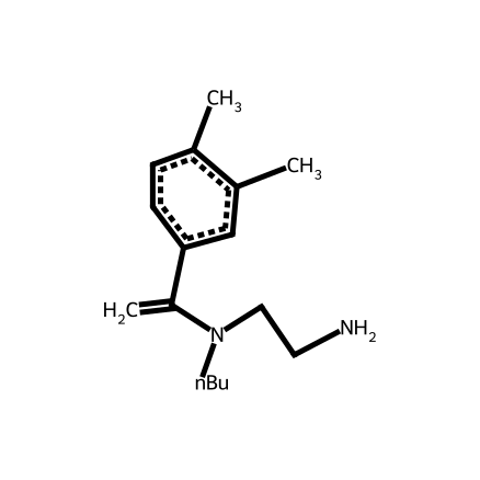 C=C(c1ccc(C)c(C)c1)N(CCN)CCCC